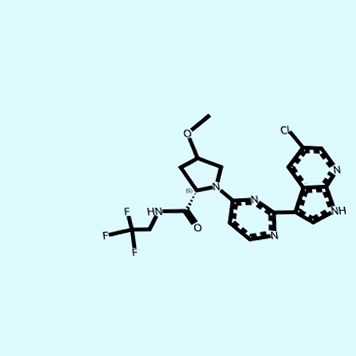 COC1C[C@@H](C(=O)NCC(F)(F)F)N(c2ccnc(-c3c[nH]c4ncc(Cl)cc34)n2)C1